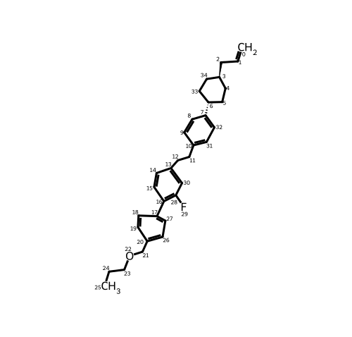 C=CC[C@H]1CC[C@H](c2ccc(CCc3ccc(-c4ccc(COCCC)cc4)c(F)c3)cc2)CC1